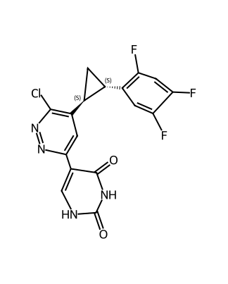 O=c1[nH]cc(-c2cc([C@H]3C[C@@H]3c3cc(F)c(F)cc3F)c(Cl)nn2)c(=O)[nH]1